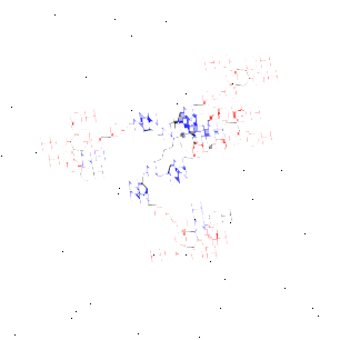 CCC(C)(C)C(CCCCN(Cc1cn(CCOCCO[C@@H]2O[C@H](CO)[C@H](O)[C@H](O)[C@H]2NC(C)=O)nn1)Cc1cn(CCOCCO[C@@H]2O[C@H](CO)[C@H](O)[C@H](O)[C@H]2NC(C)=O)nn1)N(Cc1cn(CCOCCO[C@H]2C[C@@H](O)[C@@H](O)[C@@H](CO)O2)nn1)Cc1cn(CCOCCO[C@@H]2O[C@H](CO)[C@H](O)[C@H](O)[C@H]2NC(C)=O)nn1